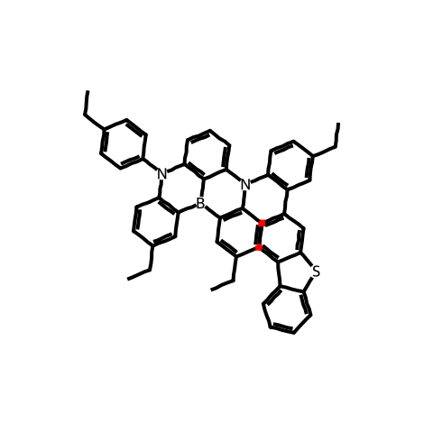 CCc1ccc(N2c3ccc(CC)cc3B3c4cc(CC)ccc4N(c4ccc(CC)cc4-c4ccc5c(c4)sc4ccccc45)c4cccc2c43)cc1